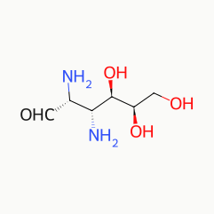 N[C@@H]([C@@H](O)[C@H](O)CO)[C@@H](N)C=O